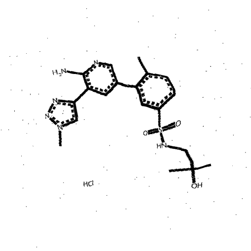 Cc1ccc(S(=O)(=O)NCC(C)(C)O)cc1-c1cnc(N)c(-c2cn(C)nn2)c1.Cl